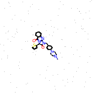 CN1CCN(c2ccc(CN3C(=O)C(c4cccs4)n4c3nc3ccccc3c4=O)cc2)CC1